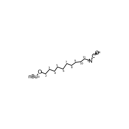 CCCCOCCCCCCCCCCN=C=O